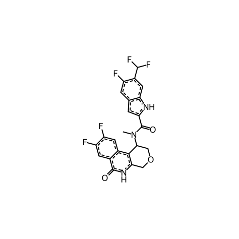 CN(C(=O)c1cc2cc(F)c(C(F)F)cc2[nH]1)C1COCc2[nH]c(=O)c3cc(F)c(F)cc3c21